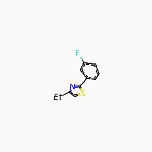 CCc1csc(-c2cccc(F)c2)n1